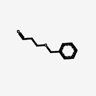 O=[C]CCOCc1ccccc1